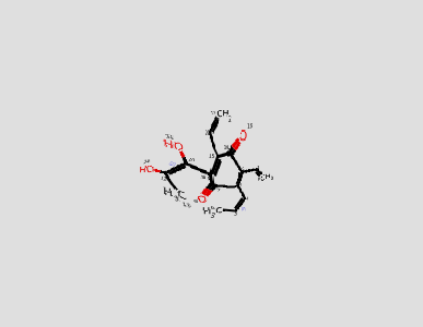 C=CC1=C(/C=C\C)C(=O)C(/C(O)=C(\C)O)=C(C=C)C1=O